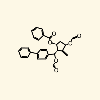 C=C1[C@H](OC=O)C[C@H](OC(=O)c2ccccc2)[C@@H]1C(OC=O)c1ccc(-c2ccccc2)cc1